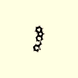 c1ccc(CN2CCC3=C(Cc4ccccc43)C2)nc1